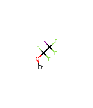 CCOC(F)(F)C(F)(F)I